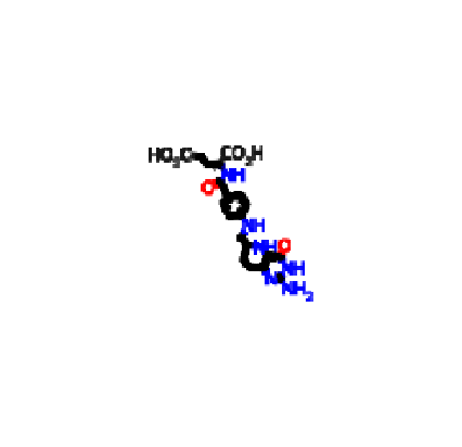 Nc1nc2c(c(=O)[nH]1)NC(CNc1ccc(C(=O)N[C@@H](CCC(=O)O)C(=O)O)cc1)CC2